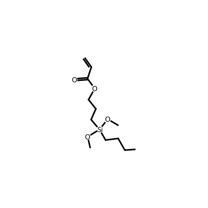 C=CC(=O)OCCC[Si](CCCC)(OC)OC